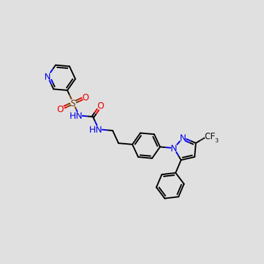 O=C(NCCc1ccc(-n2nc(C(F)(F)F)cc2-c2ccccc2)cc1)NS(=O)(=O)c1cccnc1